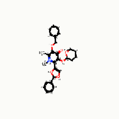 Cc1c(OCc2ccccc2)c(=O)c(OC2CCCCO2)c(C2=COC(c3ccccc3)O2)n1C